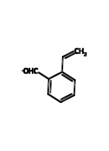 C=Cc1ccccc1[C]=O